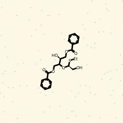 CCS[C@@H](CO)OC(COC(=O)c1ccccc1)[C@@H](O)COC(=O)c1ccccc1